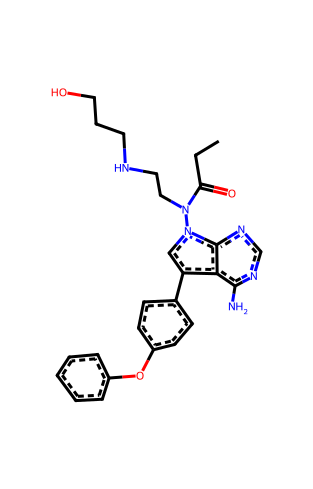 CCC(=O)N(CCNCCCO)n1cc(-c2ccc(Oc3ccccc3)cc2)c2c(N)ncnc21